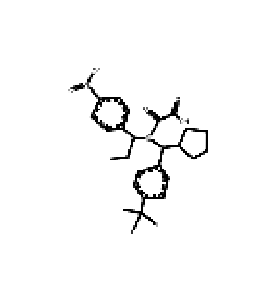 CCC(c1ccc([N+](=O)[O-])cc1)N(C(=O)C(=O)O)C(c1ccc(C(F)(F)F)cc1)C1CCCC1